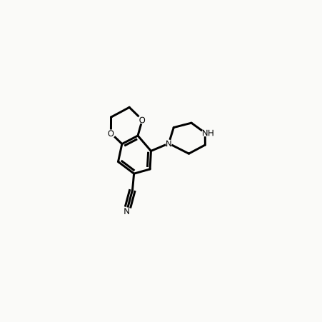 N#Cc1cc2c(c(N3CCNCC3)c1)OCCO2